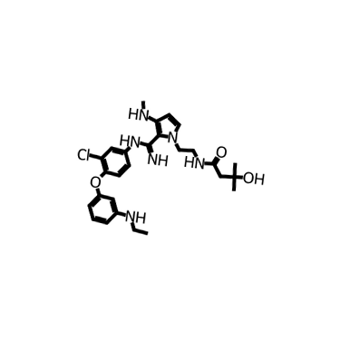 CCNc1cccc(Oc2ccc(NC(=N)c3c(NC)ccn3CCNC(=O)CC(C)(C)O)cc2Cl)c1